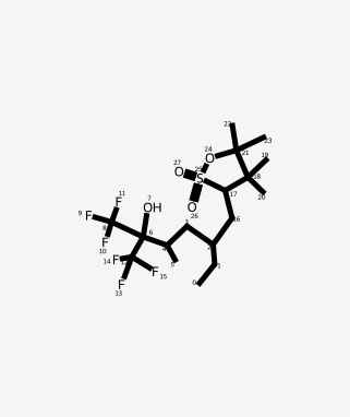 CCC(CC(C)C(O)(C(F)(F)F)C(F)(F)F)CC1C(C)(C)C(C)(C)OS1(=O)=O